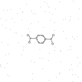 ClP(Cl)c1ccc(P(Cl)Cl)cc1